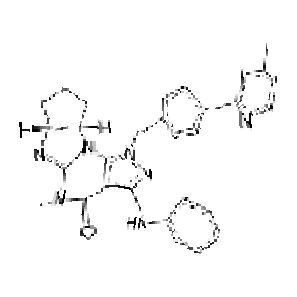 Cc1ccnc(-c2ccc(Cn3nc(Nc4ccccc4)c4c3N3C(=N[C@@H]5CCC[C@@H]53)N(C)C4=O)cc2)c1